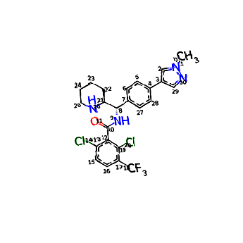 Cn1cc(-c2ccc([C@H](NC(=O)c3c(Cl)ccc(C(F)(F)F)c3Cl)[C@@H]3CCCCN3)cc2)cn1